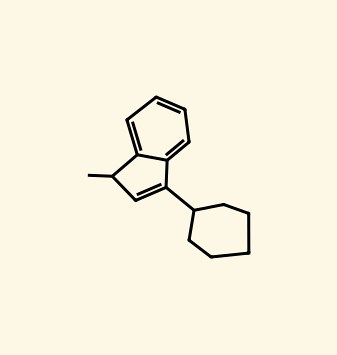 CC1C=C(C2CCCCC2)c2ccccc21